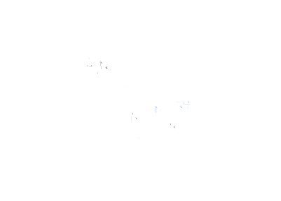 C=C1Sc2cnc(N)nc2N1c1ccc([N+](=O)[O-])cc1